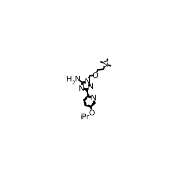 CC(C)Oc1ccc(-c2nc(N)n(COCC[Si](C)(C)C)n2)nc1